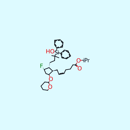 CC(C)OC(=O)CCC/C=C\C[C@@H]1[C@@H](CCC(C)(C)[Si](O)(c2ccccc2)c2ccccc2)[C@@H](F)C[C@@H]1OC1CCCCO1